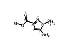 CCOC(=O)c1cc(N)n(P)n1